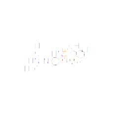 COc1ccc(N2CC(C)NC(C)C2)cc1NS(=O)(=O)c1sc2ccc(F)cc2c1C